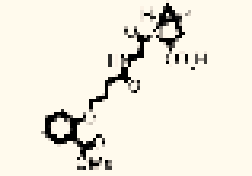 COC(=O)c1ccccc1OCCCC(=O)NCC(=O)N1[C@H]2C[C@@]2(C)C[C@H]1C(=O)O